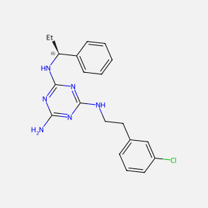 CC[C@H](Nc1nc(N)nc(NCCc2cccc(Cl)c2)n1)c1ccccc1